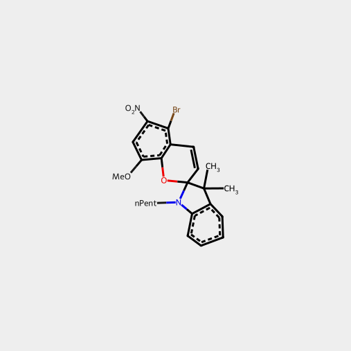 CCCCCN1c2ccccc2C(C)(C)C12C=Cc1c(Br)c([N+](=O)[O-])cc(OC)c1O2